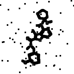 COc1cc(CN(C)C(=O)c2sc3ncnc(N(C)C4(OC)CCCCC4)c3c2C)ccn1